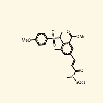 CCCCCCCCN(C)C(=O)C=Cc1cc(C)c(N(C)S(=O)(=O)c2ccc(OC)cc2)c(C(=O)OC)c1